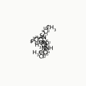 Cc1ccc(-c2nc(C(=O)N3CCC[C@@]3(C)c3nc4c(C)c(Cl)ccc4[nH]3)c(-c3ccc(F)cc3)s2)cc1